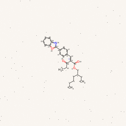 CCCCC(CC)COC(=O)/C(=C/c1ccc(-c2nc3ccccc3o2)cc1)C(=O)CC